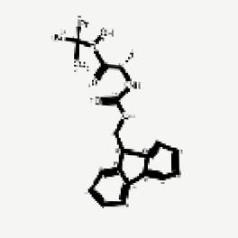 CC(C)[C@](C(=O)O)(N(O)C(=O)[C@H](C)NC(=O)OCC1c2ccccc2-c2ccccc21)C(C)(C)C